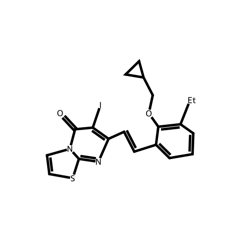 CCc1cccc(C=Cc2nc3sccn3c(=O)c2I)c1OCC1CC1